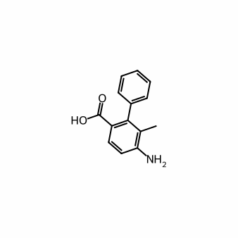 Cc1c(N)ccc(C(=O)O)c1-c1ccccc1